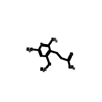 COc1cc(C)nc(C)c1CCC(C)=O